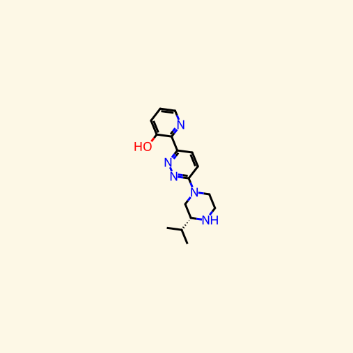 CC(C)[C@@H]1CN(c2ccc(-c3ncccc3O)nn2)CCN1